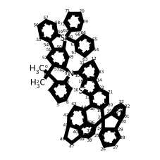 CC1(C)c2ccccc2N(c2cccc3c2sc2c4c(ccc23)C2(c3ccccc3-c3ccccc32)c2ccc3c5c(ccc-4c25)CC3)c2cc3c(cc21)-c1ccccc1[Si]3(c1ccccc1)c1ccccc1